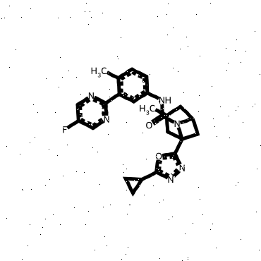 Cc1ccc(NC(=O)N2C3CC(C)CC2(c2nnc(C4CC4)o2)C3)cc1-c1ncc(F)cn1